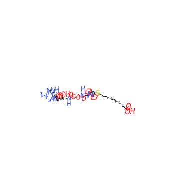 C[C@@H](NC(=O)[C@@H](N)Cc1cnc[nH]1)C(=O)C[C@@H](CCCCNC(=O)COCCOCCNC(=O)CCN1C(=O)CC(SCCCCCCCCCCCCCCCC(=O)O)C1=O)C(=O)O